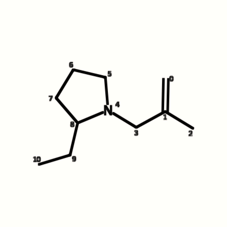 C=C(C)CN1CCCC1CC